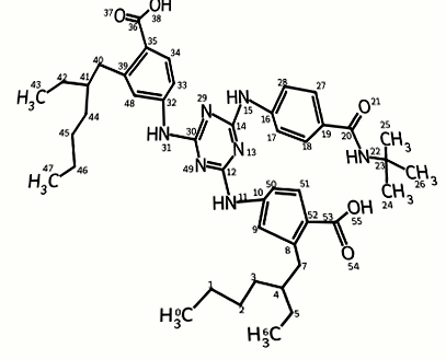 CCCCC(CC)Cc1cc(Nc2nc(Nc3ccc(C(=O)NC(C)(C)C)cc3)nc(Nc3ccc(C(=O)O)c(CC(CC)CCCC)c3)n2)ccc1C(=O)O